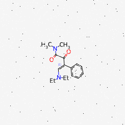 CCN(/C=C(/C(=O)C(=O)N(C)C)c1ccccc1)CC